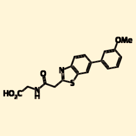 COc1cccc(-c2ccc3nc(CC(=O)NCC(=O)O)sc3c2)c1